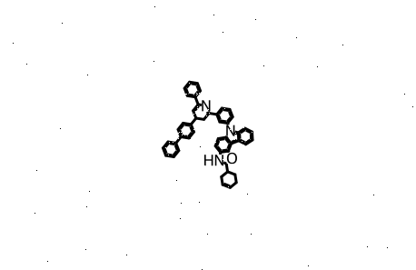 C1=CCC(C2Nc3ccc4c(c3O2)c2ccccc2n4-c2cccc(C3=NC(c4ccccc4)=CC(c4ccc(-c5ccccc5)cc4)C3)c2)CC1